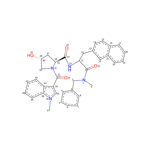 CN(Cc1ccccc1)C(=O)C(Cc1ccc2ccccc2c1)NC(=O)[C@@H]1C[C@@H](O)CN1C(=O)c1cn(C)c2ccccc12